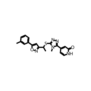 Cc1cccc(-c2cc(C(C)Sc3nnc(-c4cc[nH]c(=O)c4)n3C)no2)c1